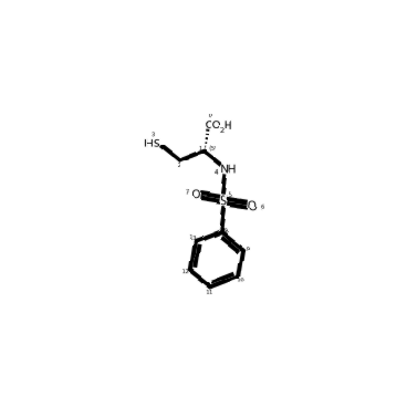 O=C(O)[C@@H](CS)NS(=O)(=O)c1ccccc1